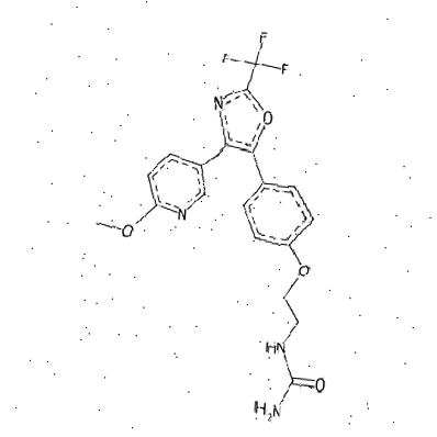 COc1ccc(-c2nc(C(F)(F)F)oc2-c2ccc(OCCNC(N)=O)cc2)cn1